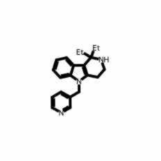 CCC1(CC)NCCc2c1c1ccccc1n2Cc1cccnc1